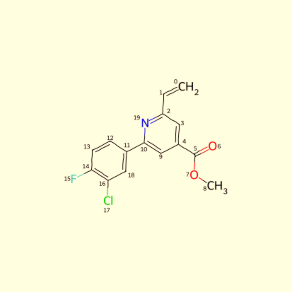 C=Cc1cc(C(=O)OC)cc(-c2ccc(F)c(Cl)c2)n1